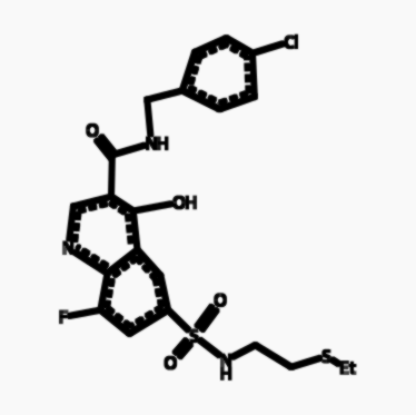 CCSCCNS(=O)(=O)c1cc(F)c2ncc(C(=O)NCc3ccc(Cl)cc3)c(O)c2c1